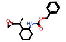 C[C@@H](C1CCCCC1NC(=O)OCc1ccccc1)[C@H]1CO1